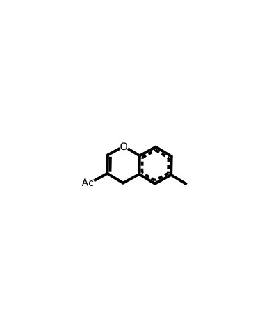 CC(=O)C1=COc2ccc(C)cc2C1